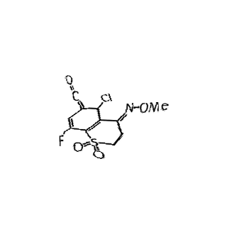 CON=C1CCS(=O)(=O)C2=C1C(Cl)C(=C=O)C=C2F